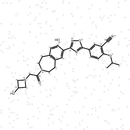 CC(C)Oc1ccc(-c2nc(-c3ccc4c(c3)CCN(C(=O)CN3CC(O)C3)CC4)no2)cc1C#N.Cl